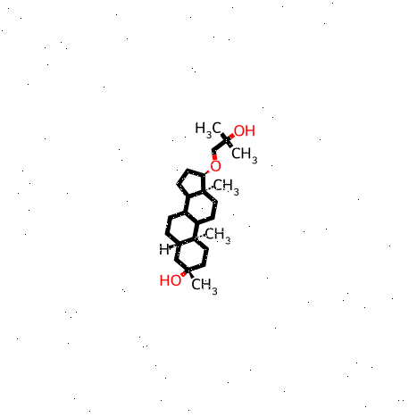 CC(C)(O)CO[C@H]1CCC2C3CC[C@H]4C[C@@](C)(O)CC[C@]4(C)C3CC[C@@]21C